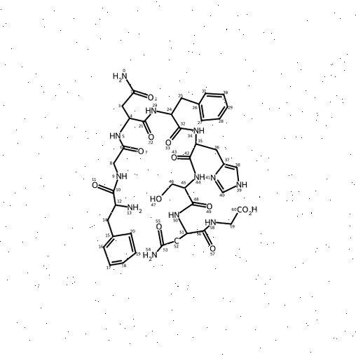 NC(=O)CC(NC(=O)CNC(=O)C(N)Cc1ccccc1)C(=O)NC(Cc1ccccc1)C(=O)NC(Cc1c[nH]cn1)C(=O)NC(CO)C(=O)NC(CC(N)=O)C(=O)NCC(=O)O